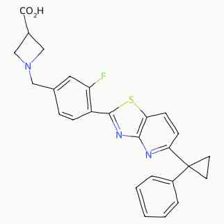 O=C(O)C1CN(Cc2ccc(-c3nc4nc(C5(c6ccccc6)CC5)ccc4s3)c(F)c2)C1